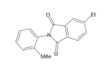 CCc1ccc2c(c1)C(=O)N(c1ccccc1SC)C2=O